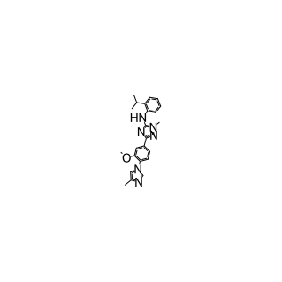 COc1cc(-c2nc(Nc3ccccc3C(C)C)n(C)n2)ccc1-n1cnc(C)c1